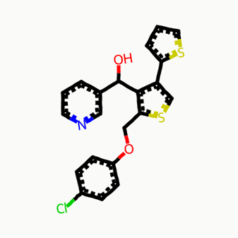 OC(c1cccnc1)c1c(-c2cccs2)csc1COc1ccc(Cl)cc1